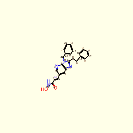 O=C(/C=C/c1cnc2c(c1)nc(CCc1ccccc1)n2Cc1ccccc1)NO